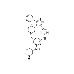 c1ccc(-c2nnc(-c3cnc(Nc4cc(CN5CCOCC5)cc(NC5CCCNC5)n4)s3)o2)cc1